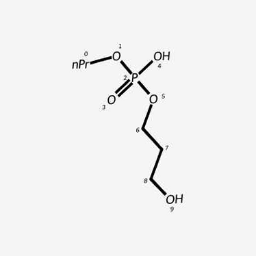 CCCOP(=O)(O)OCCCO